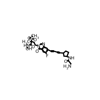 CC(CCn1cnc2cc(C#CC#CC3CCC(NC(=O)CN)C3)c(F)cc2c1=O)(C(=O)NO)S(C)(=O)=O